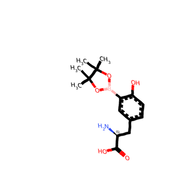 CC1(C)OB(c2cc(C[C@H](N)C(=O)O)ccc2O)OC1(C)C